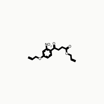 C=CCOC(=O)CCC(=O)c1ccc(OCC=C)cc1[N+](=O)[O-]